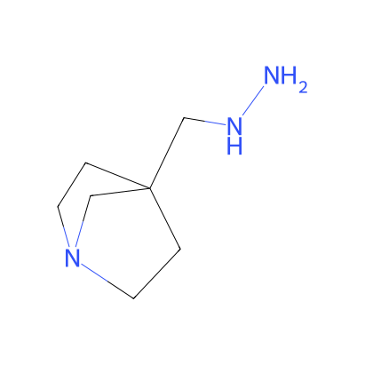 NNCC12CCN(CC1)C2